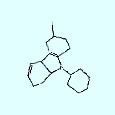 IC1CCC2=C(C1)C1C=CCCC1N2C1CCCCC1